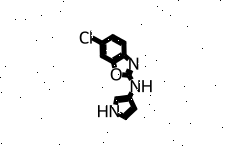 Clc1ccc2nc(Nc3cc[nH]c3)oc2c1